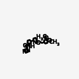 COc1ccc(CCOc2cccc(-c3cccc(NC(=O)c4cnccn4)c3)n2)cc1OC